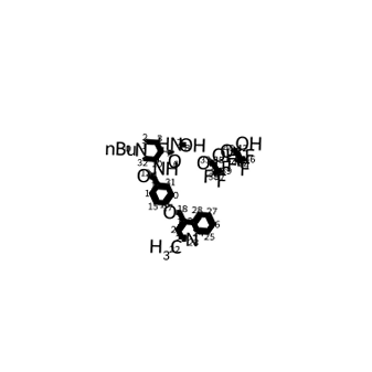 CCCCN1CC[C@H](C(=O)NO)[C@H](NC(=O)c2ccc(OCc3cc(C)nc4ccccc34)cc2)C1.O=C(O)C(F)(F)F.O=C(O)C(F)(F)F